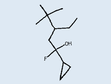 CCC(CC(O)(F)C1CC1)C(C)(C)C